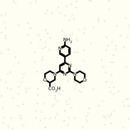 Nc1ccc(-c2cc(N3CCOC(C(=O)O)C3)nc(N3CCOCC3)n2)cn1